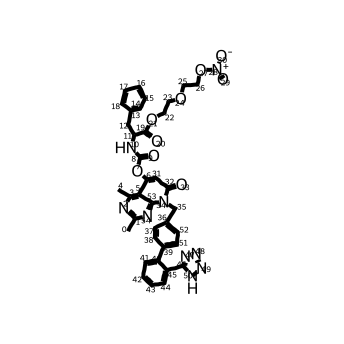 Cc1nc(C)c2c(OC(=O)NC(Cc3ccccc3)C(=O)OCCOCCO[N+](=O)[O-])cc(=O)n(Cc3ccc(-c4ccccc4-c4nnn[nH]4)cc3)c2n1